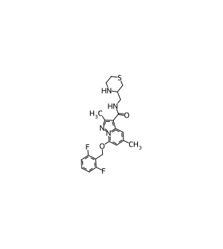 Cc1cc(OCc2c(F)cccc2F)n2nc(C)c(C(=O)NCC3CSCCN3)c2c1